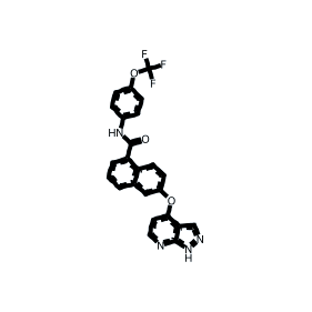 O=C(Nc1ccc(OC(F)(F)F)cc1)c1cccc2cc(Oc3ccnc4[nH]ncc34)ccc12